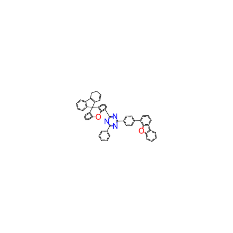 C1=CC2=C(CC1)c1ccccc1C21c2ccccc2Oc2c(-c3nc(-c4ccccc4)nc(-c4ccc(-c5cccc6c5oc5ccccc56)cc4)n3)cccc21